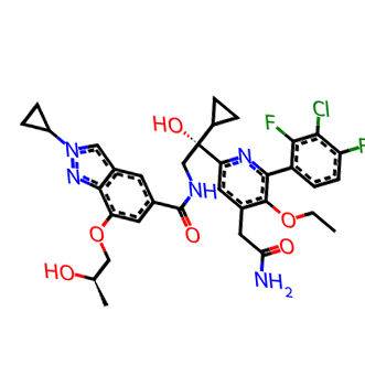 CCOc1c(CC(N)=O)cc([C@@](O)(CNC(=O)c2cc(OC[C@@H](C)O)c3nn(C4CC4)cc3c2)C2CC2)nc1-c1ccc(F)c(Cl)c1F